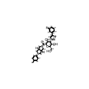 Cc1ccc(N2C[C@H]3CN(C(=O)[C@@H]4O[C@H](CO)[C@H](O)[C@H](n5cc(-c6cccc(F)c6)nn5)[C@H]4O)C[C@H]3C2)cc1